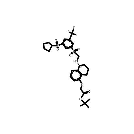 CC(C)(C)OC(=O)COc1cccc2c1CCC[C@H]2NCS(=O)(=O)c1cc(C(F)(F)F)cc(S(=O)(=O)C2CCCC2)c1